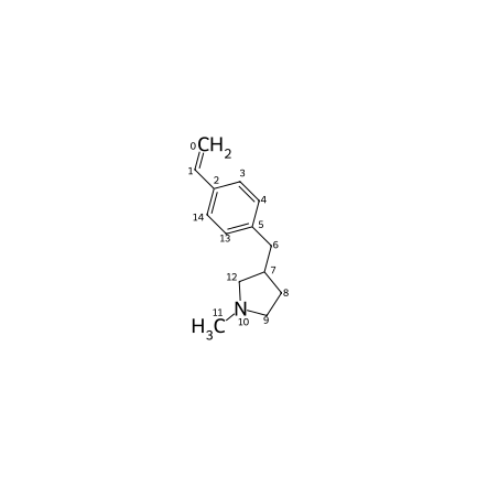 C=Cc1ccc(CC2CCN(C)C2)cc1